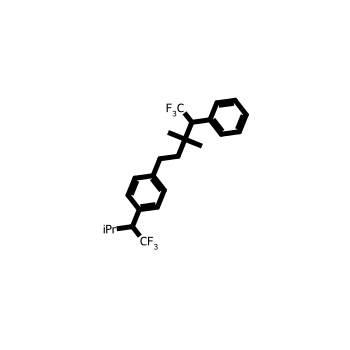 CC(C)C(c1ccc(CCC(C)(C)C(c2ccccc2)C(F)(F)F)cc1)C(F)(F)F